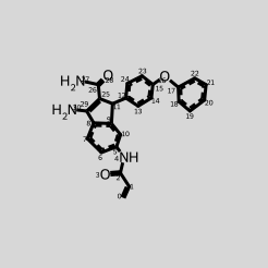 C=CC(=O)Nc1ccc2c(c1)C(c1ccc(Oc3ccccc3)cc1)C(C(N)=O)=C2N